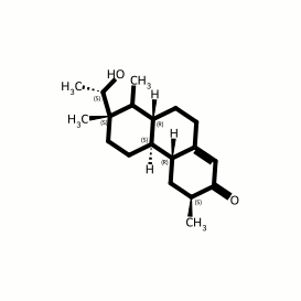 CC1[C@@H]2CCC3=CC(=O)[C@@H](C)C[C@@H]3[C@H]2CC[C@]1(C)[C@H](C)O